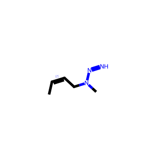 C/C=C\CN(C)N=N